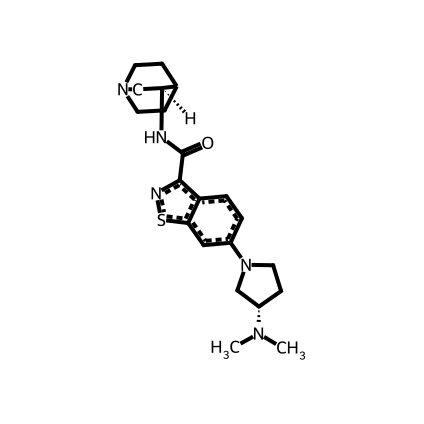 CN(C)[C@H]1CCN(c2ccc3c(C(=O)N[C@H]4CN5CCC4CC5)nsc3c2)C1